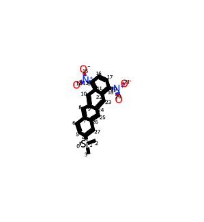 C[Si](C)(C)c1ccc2cc3cc4c([N+](=O)[O-])ccc([N+](=O)[O-])c4cc3cc2c1